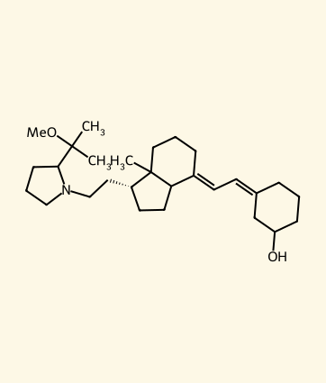 COC(C)(C)C1CCCN1CC[C@H]1CCC2/C(=C/C=C3/CCCC(O)C3)CCCC21C